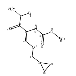 CC(Br)C(=O)[C@H](COCC1CC1)NC(=O)OC(C)(C)C